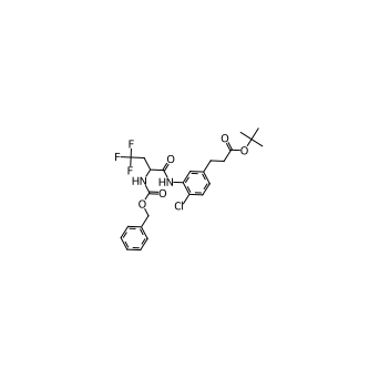 CC(C)(C)OC(=O)CCc1ccc(Cl)c(NC(=O)C(CC(F)(F)F)NC(=O)OCc2ccccc2)c1